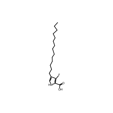 CCCCCCCCCCCCCCc1c[nH]c(C(=O)O)c1F